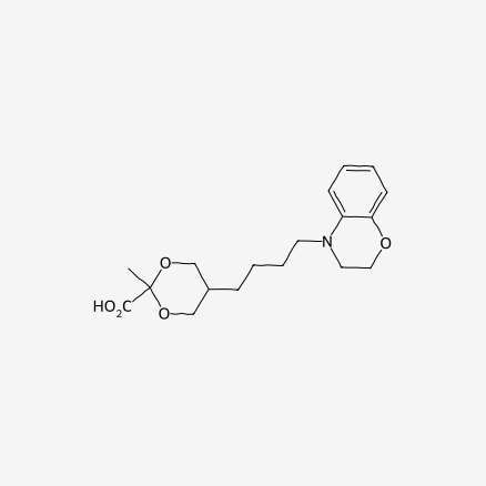 CC1(C(=O)O)OCC(CCCCN2CCOc3ccccc32)CO1